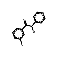 O=C(c1cccc(Cl)c1)C(Br)c1ccncc1